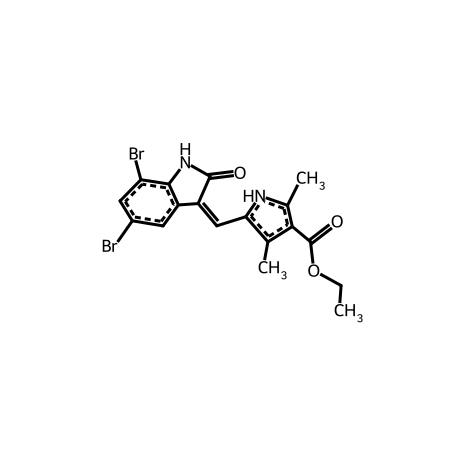 CCOC(=O)c1c(C)[nH]c(C=C2C(=O)Nc3c(Br)cc(Br)cc32)c1C